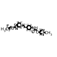 Cc1ncc(OCC(=O)N[C@H]2CC[C@H](CCN3CCc4sc(OCC(C)(F)F)nc4C3)CC2)cn1